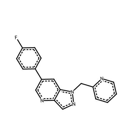 Fc1ccc(-c2cnc3cnn(Cc4ccccn4)c3c2)cc1